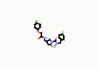 CN(Cc1ccc(Cl)cc1)C(=O)N1CCC(CNC(=O)COc2ccc(Cl)cc2)C1